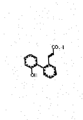 O=C(O)/C=C/c1ccccc1-c1ccccc1O